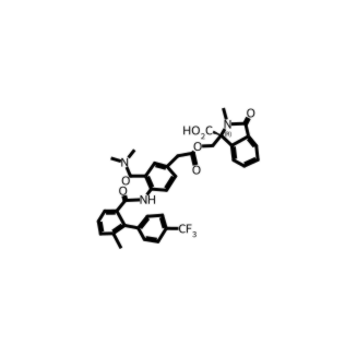 Cc1cccc(C(=O)Nc2ccc(CC(=O)OC[C@@]3(C(=O)O)c4ccccc4C(=O)N3C)cc2C(=O)N(C)C)c1-c1ccc(C(F)(F)F)cc1